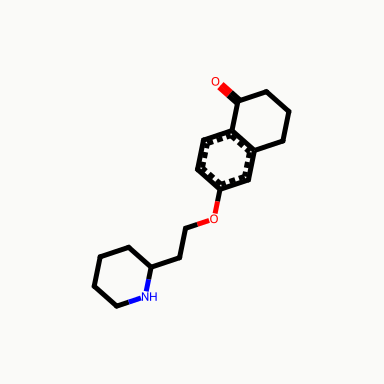 O=C1CCCc2cc(OCCC3CCCCN3)ccc21